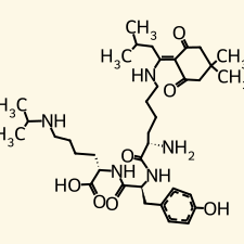 CC(C)CC(NCCCC[C@H](N)C(=O)N[C@@H](Cc1ccc(O)cc1)C(=O)N[C@@H](CCCCNC(C)C)C(=O)O)=C1C(=O)CC(C)(C)CC1=O